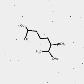 CCCCCCCCC(C)CCC[C@@H](C)[C@H](C)OC(C)=O